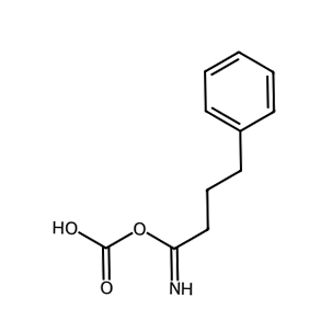 N=C(CCCc1ccccc1)OC(=O)O